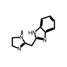 CN1CCN=C1Cc1nc2ccccc2[nH]1